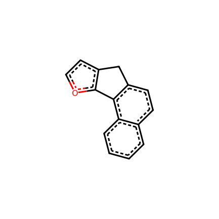 c1ccc2c3c(ccc2c1)Cc1ccoc1-3